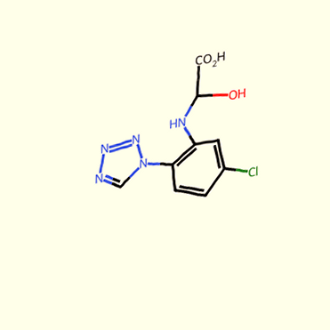 O=C(O)C(O)Nc1cc(Cl)ccc1-n1cnnn1